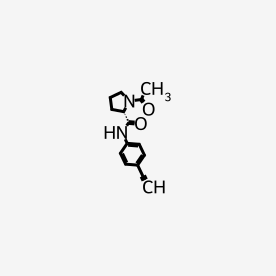 C#Cc1ccc(NC(=O)[C@@H]2CCCN2C(C)=O)cc1